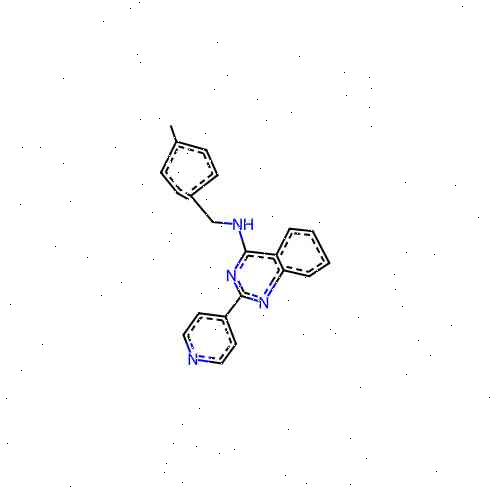 Cc1ccc(CNc2nc(-c3ccncc3)nc3ccccc23)cc1